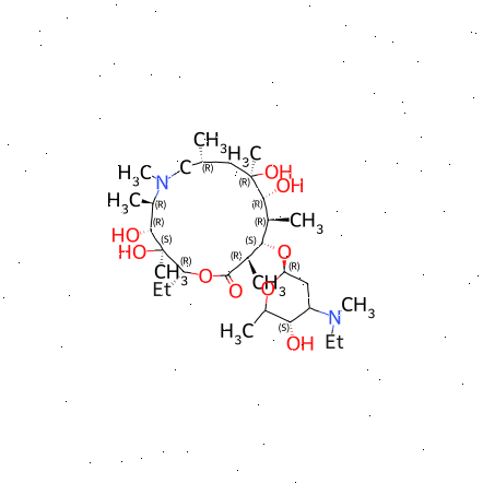 CC[C@H]1OC(=O)[C@H](C)[C@@H](O[C@H]2CC(N(C)CC)[C@H](O)C(C)O2)[C@H](C)[C@@H](O)[C@](C)(O)C[C@@H](C)CN(C)[C@H](C)[C@@H](O)[C@]1(C)O